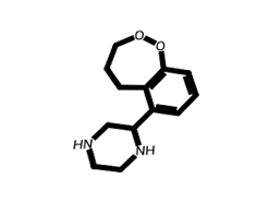 c1cc2c(c(C3CNCCN3)c1)CCCOO2